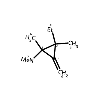 C=C1C(C)(CC)C1(C)NC